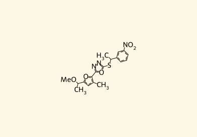 COC(C)c1cc(C)c(-c2nnc(SC(C)c3cccc([N+](=O)[O-])c3)o2)o1